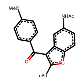 CCCCc1oc2ccc(NC(C)=O)cc2c1C(=O)c1ccc(OC)cc1